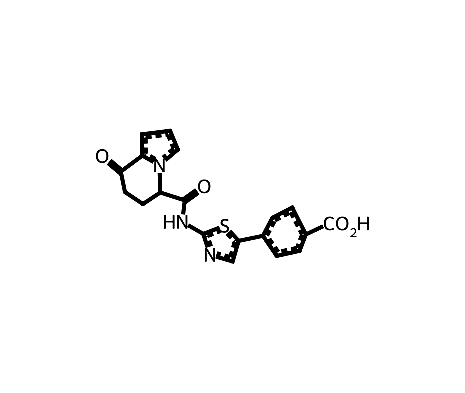 O=C(O)c1ccc(-c2cnc(NC(=O)C3CCC(=O)c4cccn43)s2)cc1